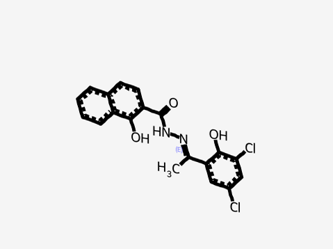 C/C(=N\NC(=O)c1ccc2ccccc2c1O)c1cc(Cl)cc(Cl)c1O